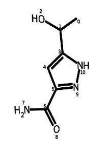 CC(O)c1cc(C(N)=O)n[nH]1